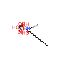 CCCCCCCCCCCCCC=CC(O)C(COC1O[C@H](CO)[C@@H](O)[C@H](O)[C@H]1O)NCCCCCC